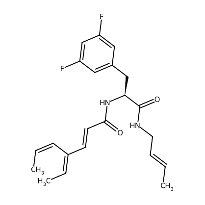 C\C=C/C(/C=C/C(=O)N[C@@H](Cc1cc(F)cc(F)c1)C(=O)NC/C=C/C)=C\C